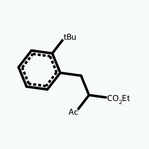 CCOC(=O)C(Cc1ccccc1C(C)(C)C)C(C)=O